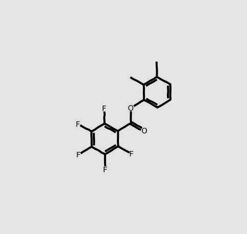 Cc1cccc(OC(=O)c2c(F)c(F)c(F)c(F)c2F)c1C